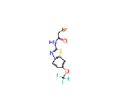 O=C(CBr)Nc1nc2ccc(OC(F)(F)F)cc2s1